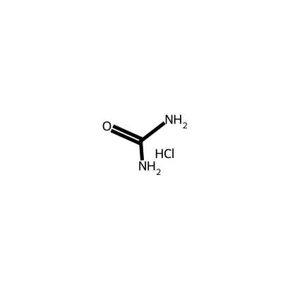 Cl.NC(N)=O